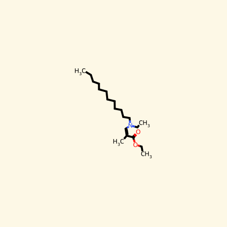 CCCCCCCCCCCCN(C=C(C)C(=O)OCC)CC